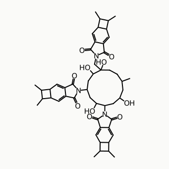 CC1CCC(O)(CN2C(=O)C3=CC4C(C)C(C)C4C=C3C2=O)C(O)CC(N2C(=O)C3=CC4C(C)C(C)C4C=C3C2=O)CC(O)C(N2C(=O)C3=CC4C(C)C(C)C4C=C3C2=O)CC(O)C1